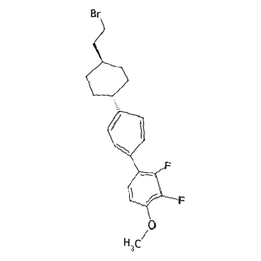 COc1ccc(-c2ccc([C@H]3CC[C@H](CCBr)CC3)cc2)c(F)c1F